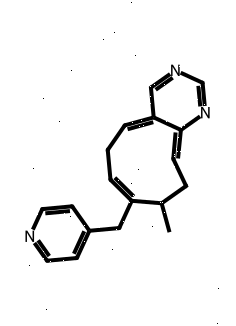 CC1C/C=c2\ncnc\c2=C\C/C=C\1Cc1ccncc1